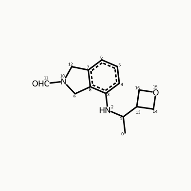 CC(Nc1cccc2c1CN(C=O)C2)C1COC1